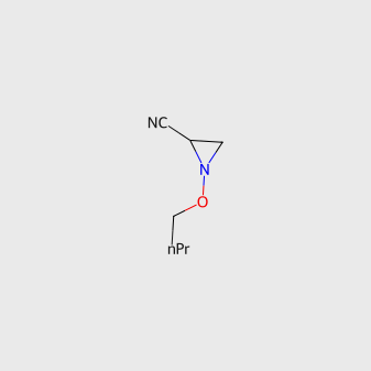 CCCCON1CC1C#N